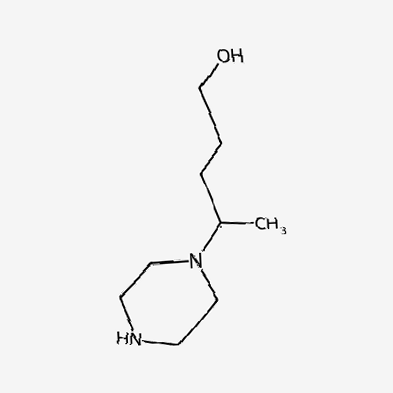 C[C](CCCO)N1CCNCC1